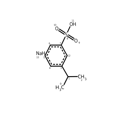 CC(C)c1cccc(S(=O)(=O)O)c1.[NaH]